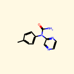 Cc1ccc(N(C(N)=O)c2cnccn2)cc1